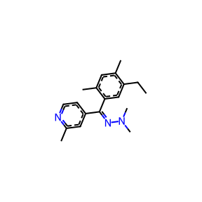 CCc1cc(/C(=N\N(C)C)c2ccnc(C)c2)c(C)cc1C